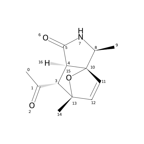 CC(=O)[C@@H]1[C@H]2C(=O)N[C@@H](C)[C@@]23C=C[C@@]1(C)O3